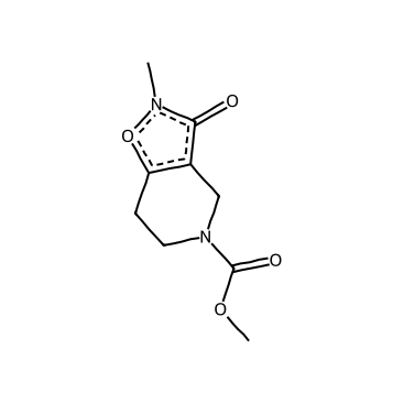 COC(=O)N1CCc2on(C)c(=O)c2C1